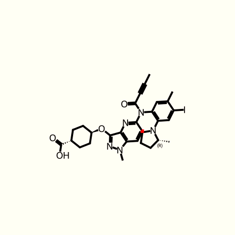 CC#CC(=O)N(c1ccc2c(n1)c(O[C@H]1CC[C@H](C(=O)O)CC1)nn2C)c1cc(C)c(I)cc1N1CCC[C@H]1C